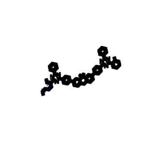 C\C=C/C=C\C(=C\C)c1nc(-c2ccccc2)nc(-c2ccc(C3=CC=C4Cc5ccc(-c6ccc(-c7nc(C8=CCCC=C8C)nc(-c8ccccc8)n7)cc6)cc5C(C)(C)C4C3)cc2)n1